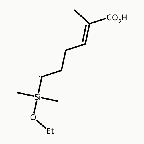 CCO[Si](C)(C)[CH]CCC=C(C)C(=O)O